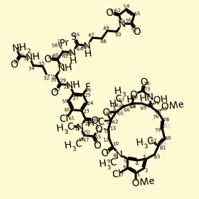 COc1cc2cc(c1Cl)N(C)C(=O)C[C@H](OC(=O)[C@H](C)N(C)C(=O)c1cc(F)c(NC(=O)[C@H](CCCNC(N)=O)NC(=O)[C@@H](NC(=S)NCCCCN3C(=O)C=CC3=O)C(C)C)cc1Cl)[C@]1(C)O[C@H]1[C@H](C)[C@@H]1C[C@@](O)(NC(=O)O1)[C@H](OC)/C=C/C=C(\C)C2